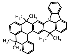 CC1(C)c2ccccc2C2c3cc4c(cc3C(C)(C)c3cccc1c32)-n1c2ccccc2c2cccc(c21)C4(C)C